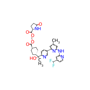 Cc1cc(Nc2cc(C(F)F)ccn2)nc(-c2ccc([C@](C)(O)[C@H]3CC[C@H](C(=O)OCOC(=O)[C@H]4CCC(=O)N4)CC3)nc2)c1